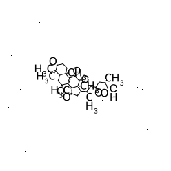 C[C@H](CC(=O)C[C@@H](C)[C@H]1CC(=O)[C@@]2(C)C3=C(C(=O)C(=O)[C@]12C)[C@@]1(C)CCC(=O)C(C)(C)C1CC3=O)C(=O)O